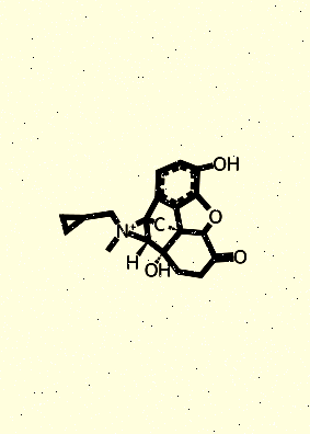 C[N+]1(CC2CC2)[C@@H]2C13C[C@]14c5c3ccc(O)c5OC1C(=O)CC[C@@]24O